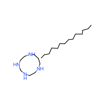 C1CNCCNCNCCNC1.CCCCCCCCCCCCCC